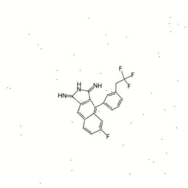 N=C1NC(=N)c2c1cc1ccc(F)cc1c2-c1cccc(CC(F)(F)F)c1